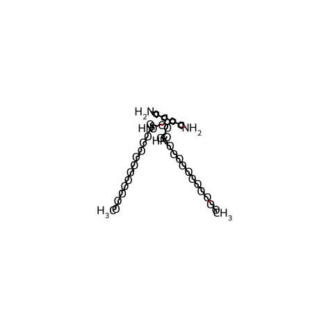 COCCOCCOCCOCCOCCOCCOCCOCCOCCOCCOCCNS(=O)(=O)CCCOC1c2cc(-c3ccc(N)cc3)ccc2-c2ccc(-c3ccc(N)cc3)cc2C1OCCCS(=O)(=O)NCCOCCOCCOCCOCCOCCOCCOCCOCCOCCOCCOC